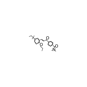 CCCOc1ccc(C(C)(C)CC)cc1C=CC(=O)c1ccc(C(=O)N(C)C)cc1